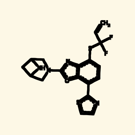 C=CC(F)(F)Sc1ccc(-c2nccs2)c2oc(N3CC4CC(C3)N4)nc12